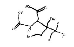 O=C(S)NC(C(=O)O)C(O)(CBr)C(F)(F)F